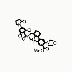 COC(=O)c1cc(F)c(-c2cccc3c2OCN(C(=O)c2c(Cl)cc(N4CCCC4=O)cc2Cl)C3)cc1N1CCOCC1